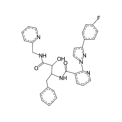 O=C(NC(Cc1ccccc1)C(O)C(=O)NCc1ccccn1)c1cccnc1-n1ccc(-c2ccc(F)cc2)n1